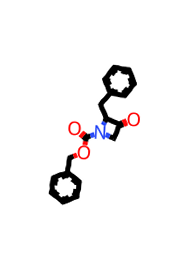 O=C1CN(C(=O)OCc2ccccc2)C1Cc1ccccc1